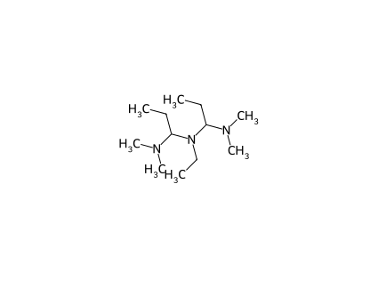 CCC(N(C)C)N(CC)C(CC)N(C)C